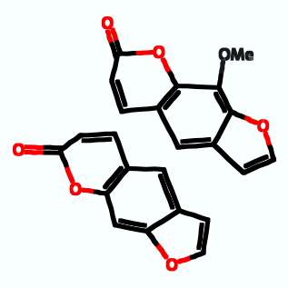 COc1c2occc2cc2ccc(=O)oc12.O=c1ccc2cc3ccoc3cc2o1